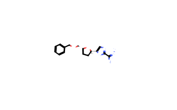 N/N=C(/N)c1ncc([C@H]2CC[C@@H](COCc3ccccc3)O2)[nH]1